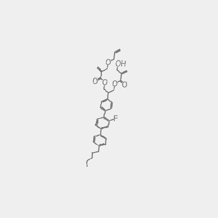 C=CCOCC(=C)C(=O)OCC(COC(=O)C(=C)CO)c1ccc(-c2ccc(-c3ccc(CCCCC)cc3)cc2F)cc1